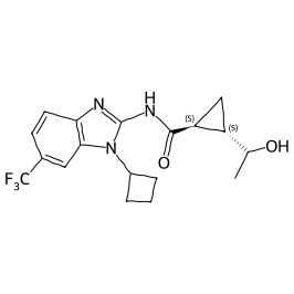 CC(O)[C@H]1C[C@@H]1C(=O)Nc1nc2ccc(C(F)(F)F)cc2n1C1CCC1